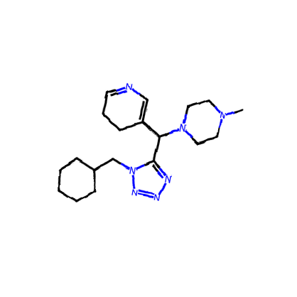 CN1CCN(C(C2=CN=CCC2)c2nnnn2CC2CCCCC2)CC1